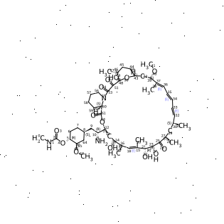 CNC(=O)O[C@@H]1CC[C@@H](C[C@@H](N)[C@@H]2C[C@@H](O)[C@H](C)/C=C(\C)[C@@H](O)[C@@H](O)C(=O)[C@H](C)C[C@H](C)/C=C/C=C/C=C(\C)[C@@H](OC)C[C@@H]3CC[C@@H](C)[C@@](O)(O3)C(=O)C(=O)N3CCCC[C@H]3C(=O)O2)C[C@H]1OC